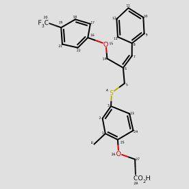 Cc1cc(SCC(=Cc2ccccc2)COc2ccc(C(F)(F)F)cc2)ccc1OCC(=O)O